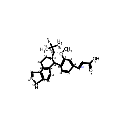 COc1cc(/C=C/C(=O)O)ccc1C1c2ccc3[nH]ncc3c2CCN1CC(C)(C)F